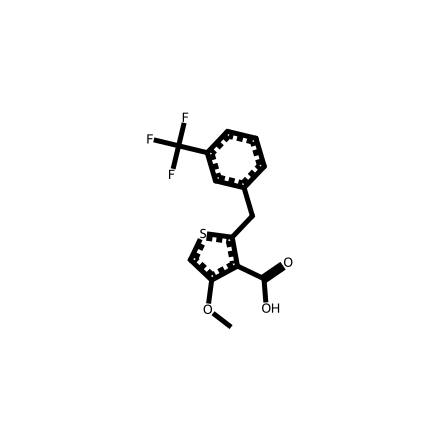 COc1csc(Cc2cccc(C(F)(F)F)c2)c1C(=O)O